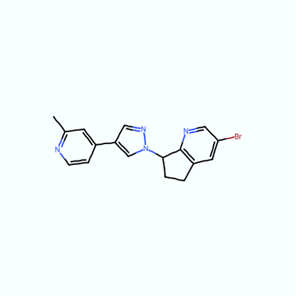 Cc1cc(-c2cnn(C3CCc4cc(Br)cnc43)c2)ccn1